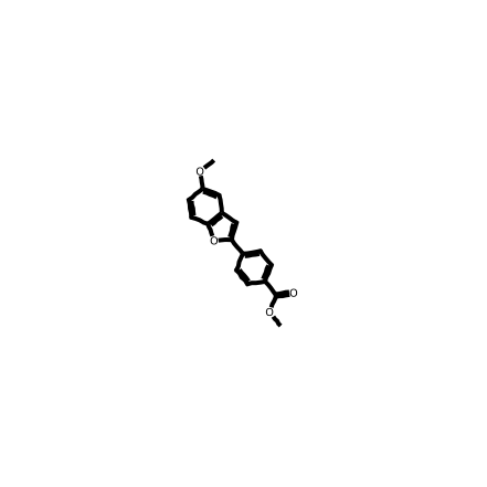 COC(=O)c1ccc(-c2cc3cc(OC)ccc3o2)cc1